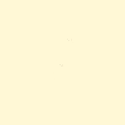 CCC(=O)NCC=CN